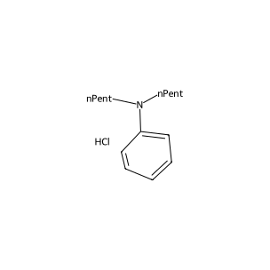 CCCCCN(CCCCC)c1ccccc1.Cl